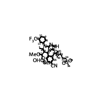 COC(=O)C1=C(C)N(c2cccc(C(F)(F)F)c2)c2n[nH]c(=O)n2C1c1ccc(C#N)cc1C[N+](C)(C)CCCS(C)(=O)=O.O=C[O-]